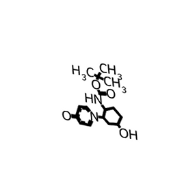 CC(C)(C)OC(=O)NC1CCC(O)CC1n1ccc(=O)cc1